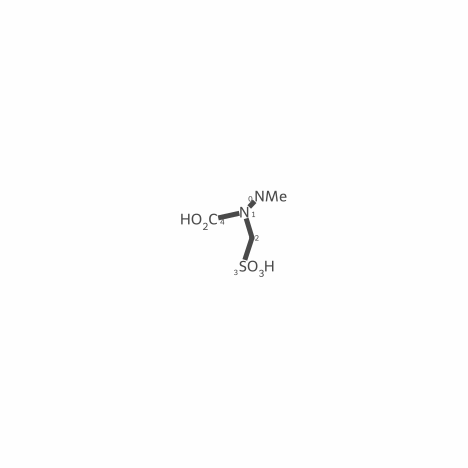 CNN(CS(=O)(=O)O)C(=O)O